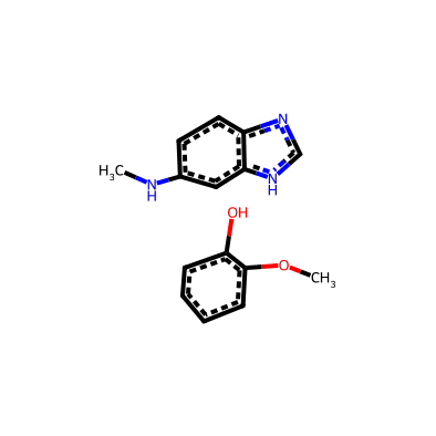 CNc1ccc2nc[nH]c2c1.COc1ccccc1O